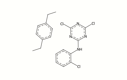 CCc1ccc(CC)cc1.Clc1nc(Cl)nc(Nc2ccccc2Cl)n1